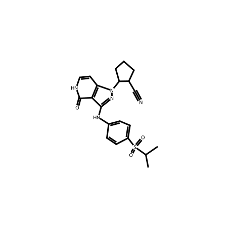 CC(C)S(=O)(=O)c1ccc(Nc2nn(C3CCCC3C#N)c3cc[nH]c(=O)c23)cc1